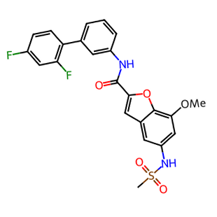 COc1cc(NS(C)(=O)=O)cc2cc(C(=O)Nc3cccc(-c4ccc(F)cc4F)c3)oc12